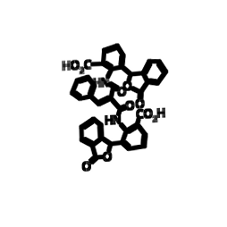 O=C(Nc1c(C(=O)O)cccc1C1OC(=O)c2ccccc21)C(=Cc1ccccc1)C(=O)Nc1c(C(=O)O)cccc1C1OC(=O)c2ccccc21